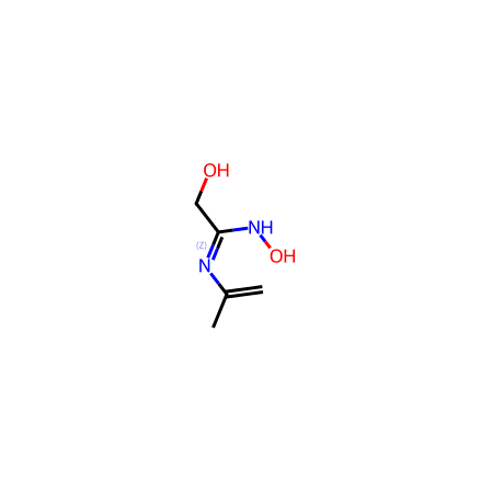 C=C(C)/N=C(/CO)NO